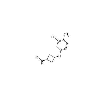 CCN[C@H]1C[C@@H](Oc2ccc(C)c(CC)c2)C1